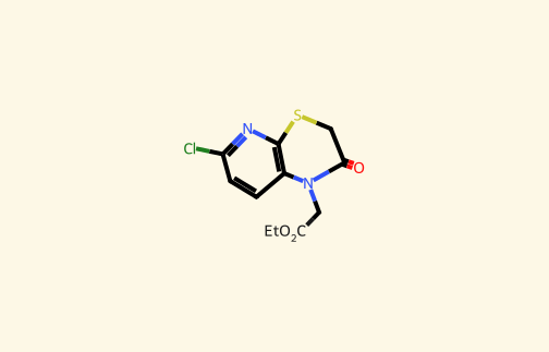 CCOC(=O)CN1C(=O)CSc2nc(Cl)ccc21